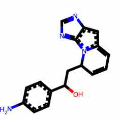 Nc1ccc(C(O)CC2C=CC=c3cc4c(n32)=NC=N4)cc1